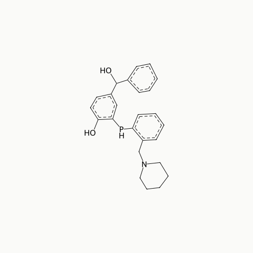 Oc1ccc(C(O)c2ccccc2)cc1Pc1ccccc1CN1CCCCC1